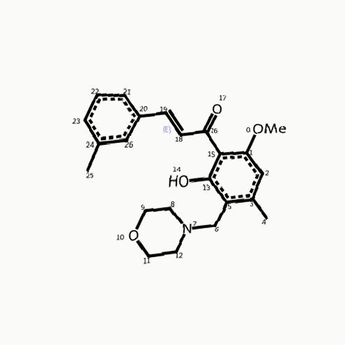 COc1cc(C)c(CN2CCOCC2)c(O)c1C(=O)/C=C/c1cccc(C)c1